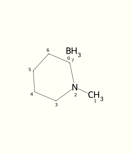 B.CN1CCCCC1